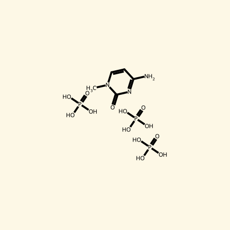 Cn1ccc(N)nc1=O.O=P(O)(O)O.O=P(O)(O)O.O=P(O)(O)O